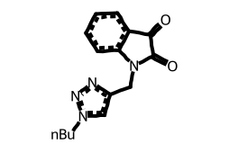 CCCCn1cc(CN2C(=O)C(=O)c3ccccc32)nn1